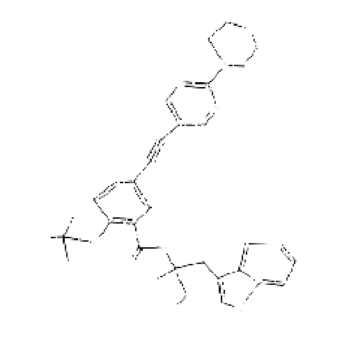 CC(CO)(Cc1c[nH]c2ccccc12)NC(=O)c1cc(C#Cc2cnc(N3CCOCC3)nc2)ccc1OC(F)(F)F